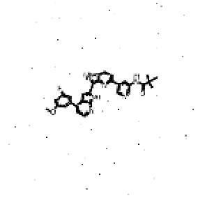 COc1cc(F)cc(-c2ccnc3[nH]c(-c4n[nH]c5ccc(-c6cncc(NC(=O)C(C)(C)C)c6)nc45)cc23)c1